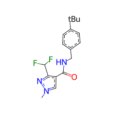 Cn1cc(C(=O)NCc2ccc(C(C)(C)C)cc2)c(C(F)F)n1